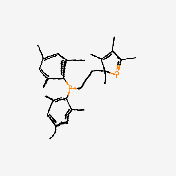 CC1=PC(C)(CCP(c2c(C)cc(C)cc2C)c2c(C)cc(C)cc2C)C(C)=C1C